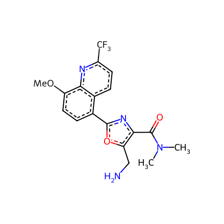 COc1ccc(-c2nc(C(=O)N(C)C)c(CN)o2)c2ccc(C(F)(F)F)nc12